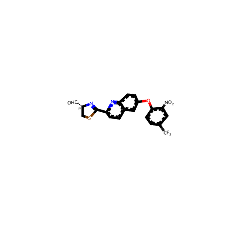 O=C[C@H]1CSC(c2ccc3cc(Oc4ccc(C(F)(F)F)cc4[N+](=O)[O-])ccc3n2)=N1